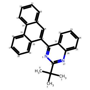 CC(C)(C)c1nc(-c2cc3ccccc3c3ccccc23)c2ccccc2n1